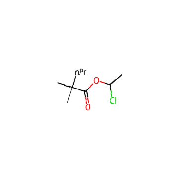 CCCC(C)(C)C(=O)OC(C)Cl